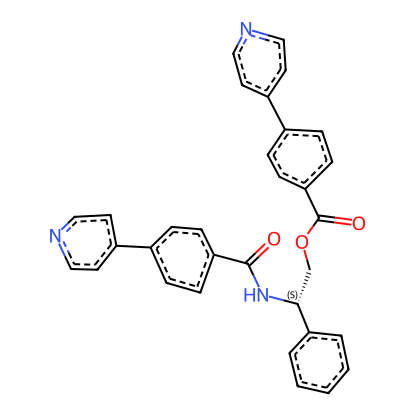 O=C(N[C@H](COC(=O)c1ccc(-c2ccncc2)cc1)c1ccccc1)c1ccc(-c2ccncc2)cc1